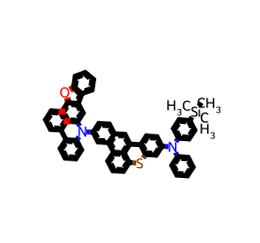 C[Si](C)(C)c1ccc(N(c2ccccc2)c2ccc3c(c2)Sc2cccc4c2c-3cc2ccc(N(c3ccc5oc6ccccc6c5c3)c3ccccc3-c3ccccc3)cc24)cc1